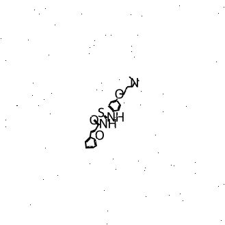 CN(C)CCCOc1ccc(NC(=S)NC(=O)c2cc3ccccc3o2)cc1